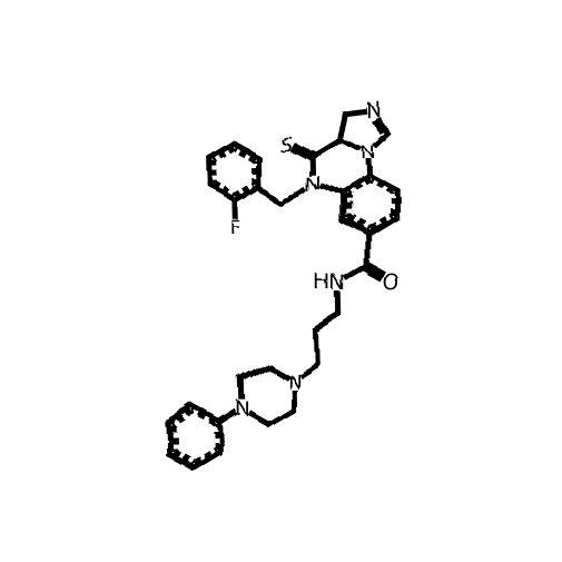 O=C(NCCCN1CCN(c2ccccc2)CC1)c1ccc2c(c1)N(Cc1ccccc1F)C(=S)C1CN=CN21